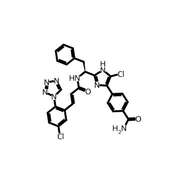 NC(=O)c1ccc(-c2nc([C@H](Cc3ccccc3)NC(=O)/C=C/c3cc(Cl)ccc3-n3cnnn3)[nH]c2Cl)cc1